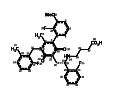 COc1cccc(-c2c(C)n(Cc3c(C)cccc3F)c(=O)n(C[C@H](NCCCC(=O)O)c3ccccc3F)c2=O)c1F